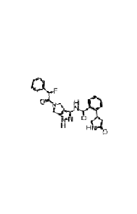 O=C1CC(c2ccccc2C(=O)Nc2n[nH]c3c2CN(C(=O)C(F)c2ccccc2)C3)CN1